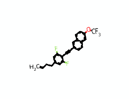 C=CCCc1cc(F)c(C#Cc2ccc3cc(OC(F)(F)F)ccc3c2)c(F)c1